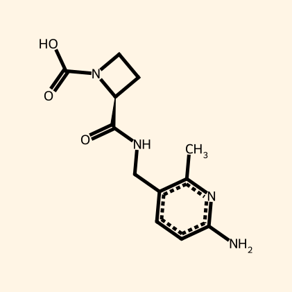 Cc1nc(N)ccc1CNC(=O)[C@@H]1CCN1C(=O)O